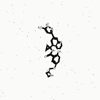 Cc1cc(-c2cc(C3(NC(=O)c4cc(OC[C@@H]5CCN5)ccc4C)CC3)c3cccnc3c2)n[nH]1